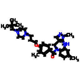 Cc1ccc2c(c1)Nc1c(cnn1C)CN2C(=O)c1ccc(OCCCN2CCN(CC(C)(C)C)CC2)c(C)c1